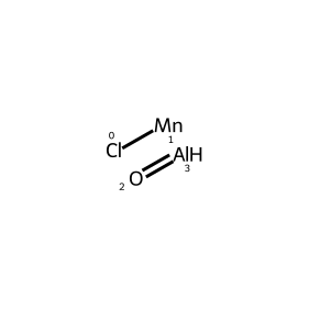 [Cl][Mn].[O]=[AlH]